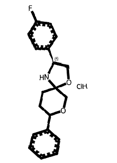 Cl.Fc1ccc([C@H]2COC3(CCC(c4ccccc4)OC3)N2)cc1